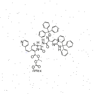 CCCCCCOC(=O)OC(C)OC(=O)C1=C(/C=C\c2cccnc2)CS[C@H]2[C@H](NC(=O)C(=NOC(c3ccccc3)(c3ccccc3)c3ccccc3)c3csc(NC(c4ccccc4)(c4ccccc4)c4ccccc4)n3)C(=O)N12